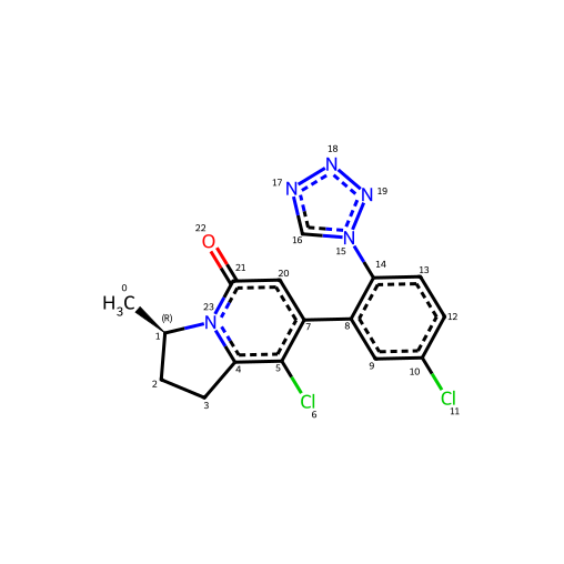 C[C@@H]1CCc2c(Cl)c(-c3cc(Cl)ccc3-n3cnnn3)cc(=O)n21